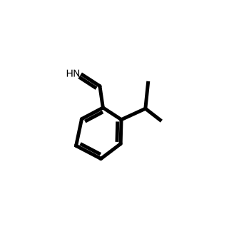 CC(C)c1ccccc1C=N